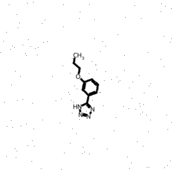 CCCOc1cccc(-c2nnn[nH]2)c1